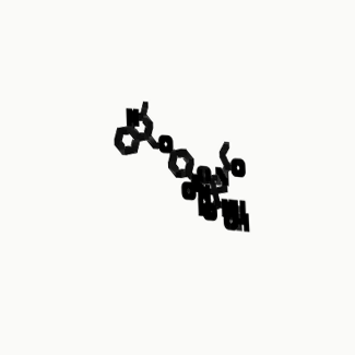 CCC(=O)N1CC(NS(=O)(=O)c2ccc(OCc3cc(C)nc4ccccc34)cc2)(C(=O)NO)C1